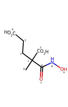 CC(CCC(=O)O)(C(=O)O)C(=O)NO